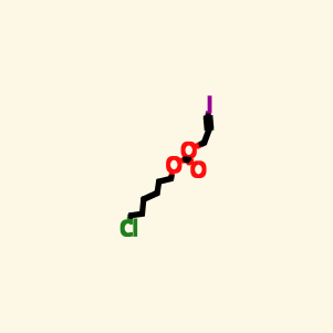 O=C(OCC#CI)OCCCCCCCl